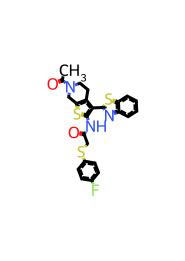 CC(=O)N1CCc2c(sc(NC(=O)CSc3ccc(F)cc3)c2-c2nc3ccccc3s2)C1